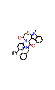 CC(C)c1ccc(N2C(=O)CSc3c(c4ccccc4n3C)C2C(=O)NCc2ccccc2)cc1